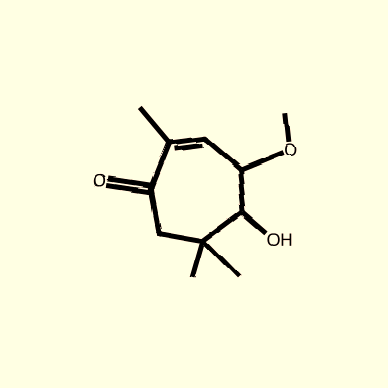 COC1C=C(C)C(=O)CC(C)(C)C1O